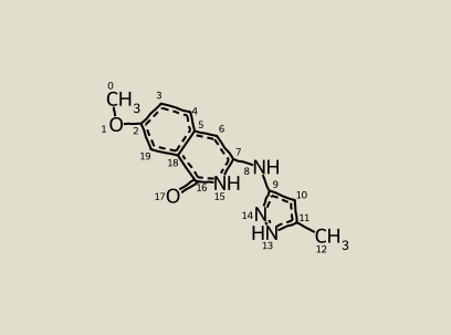 COc1ccc2cc(Nc3cc(C)[nH]n3)[nH]c(=O)c2c1